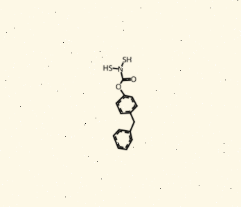 O=C(Oc1ccc(Cc2ccccc2)cc1)N(S)S